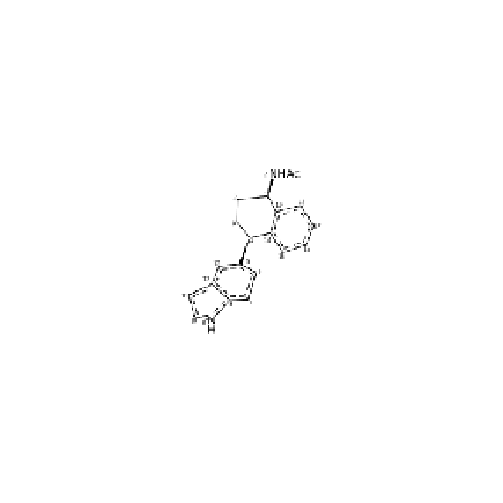 CC(=O)N[C@@H]1CC[C@H](c2ccc3[nH]ccc3c2)c2ccccc21